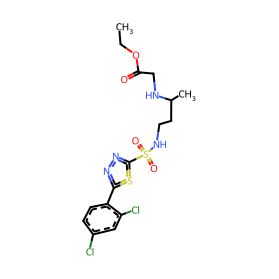 CCOC(=O)CNC(C)CCNS(=O)(=O)c1nnc(-c2ccc(Cl)cc2Cl)s1